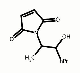 CCCC(O)C(C)N1C(=O)C=CC1=O